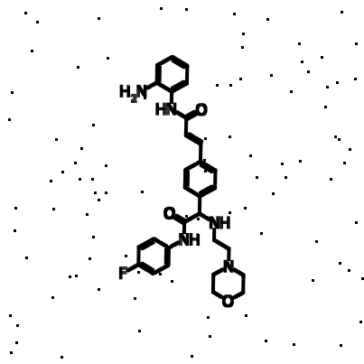 Nc1ccccc1NC(=O)C=Cc1ccc(C(NCCN2CCOCC2)C(=O)Nc2ccc(F)cc2)cc1